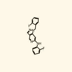 Fc1ccccc1Cn1ncc2cnc(Nc3ccccc3F)cc21